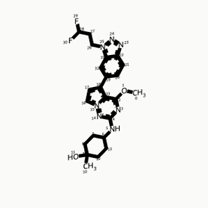 COc1nc(NC2CCC(C)(O)CC2)nn2ccc(-c3ccc4nnn(CCC(F)F)c4c3)c12